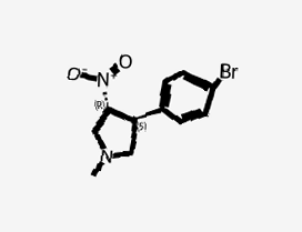 CN1C[C@H](c2ccc(Br)cc2)[C@@H]([N+](=O)[O-])C1